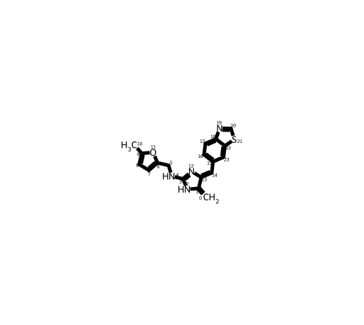 C=c1[nH]c(NCc2ccc(C)o2)n/c1=C\c1ccc2ncsc2c1